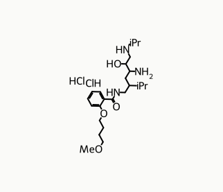 COCCCCOc1ccccc1C(=O)NCC(CC(N)C(O)CNC(C)C)C(C)C.Cl.Cl